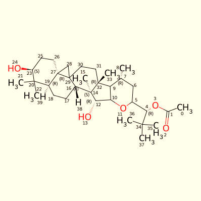 CC(=O)O[C@@H](C1C[C@@H](C)C2C(O1)[C@H](O)[C@@]1(C)[C@@H]3CC[C@H]4C(C)(C)[C@@H](O)CC[C@@]45CC35CC[C@]21C)C(C)(C)C